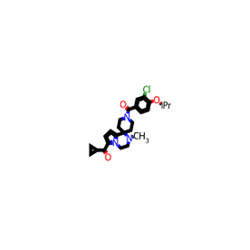 CC(C)Oc1ccc(C(=O)N2CCC3(CC2)c2ccc(C(=O)C4CC4)n2CCN3C)cc1Cl